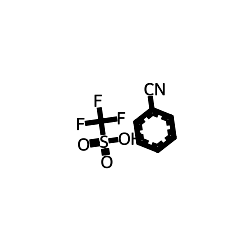 N#Cc1ccccc1.O=S(=O)(O)C(F)(F)F